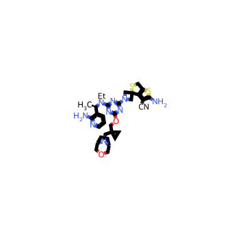 CCN(c1nc(OCC2(CN3C4CCC3COC4)CC2)nc(N2CC3(C2)SCc2sc(N)c(C#N)c23)n1)[C@H](C)c1cccnc1N